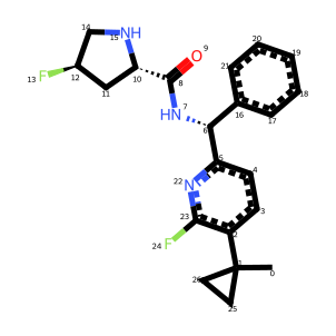 CC1(c2ccc([C@H](NC(=O)[C@@H]3C[C@@H](F)CN3)c3ccccc3)nc2F)CC1